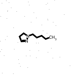 CCCCCN1CCC=N1